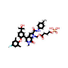 Cc1cc(F)cc(C)c1Oc1ccc(C(C)(C)O)cc1-c1cn(C)c(=O)c2c1cc(C(=O)Nc1ccc(C(C)C)cc1)n2COC(=O)CCCOP(=O)(O)O